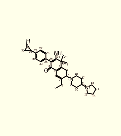 CCC1=CC2=C(CC1N1CCC(N3CCCC3)CC1)C(C)(C)C(N)=C(c1ccc(C3CN3)cc1)C2=O